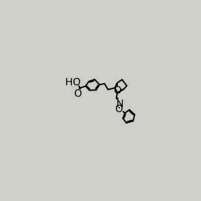 O=C(O)c1ccc(CCC2C3CCC(O3)C2/C=N/Oc2ccccc2)cc1